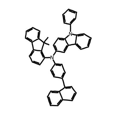 CC1(C)c2ccccc2-c2cccc(N(c3ccc(-c4cccc5ccccc45)cc3)c3ccc4c(c3)c3ccccc3n4-c3ccccc3)c21